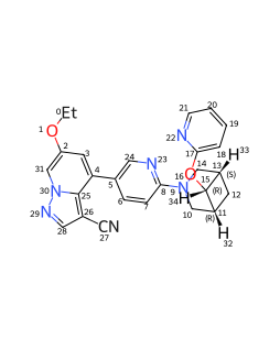 CCOc1cc(-c2ccc(N3C[C@H]4C[C@@H](C3)[C@H]4Oc3ccccn3)nc2)c2c(C#N)cnn2c1